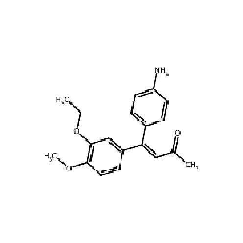 CCOc1cc(C(=CC(C)=O)c2ccc(N)cc2)ccc1OC